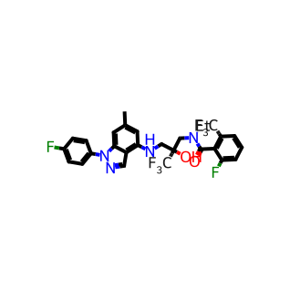 CCN(CC(O)(CNc1cc(C)cc2c1cnn2-c1ccc(F)cc1)C(F)(F)F)C(=O)c1c(F)cccc1C(F)(F)F